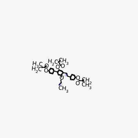 C=C(C)C(=O)Oc1ccc(/C=C/c2cc(OC(=O)C(=C)C)c(-c3ccc(OC(=O)C(=C)C)cc3)cc2OC/C=C/C)cc1